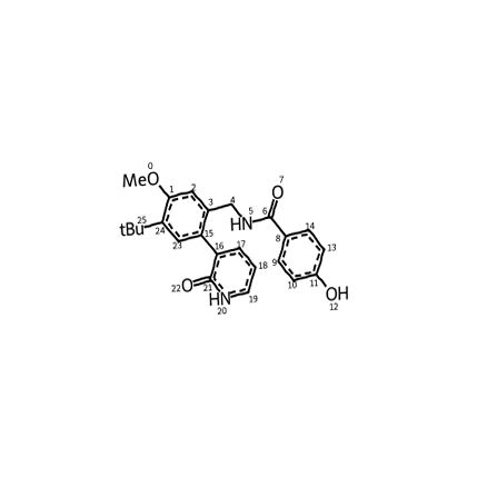 COc1cc(CNC(=O)c2ccc(O)cc2)c(-c2ccc[nH]c2=O)cc1C(C)(C)C